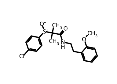 COc1ccccc1CCNC(=O)C(C)(C)[S+]([O-])c1ccc(Cl)cc1